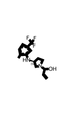 C=CC(O)N1CC[C@H](Nc2cc(C(F)(F)F)ccc2C)C1